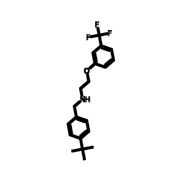 CC(C)(C)c1ccc(CNCCOc2cccc(C(F)(F)F)c2)cc1